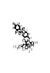 CC(C)CC1(C)NC(=N)N(CC2CCN(S(=O)(=O)c3ccc(F)cc3F)CC2)C1=O